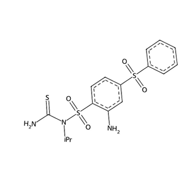 CC(C)N(C(N)=S)S(=O)(=O)c1ccc(S(=O)(=O)c2ccccc2)cc1N